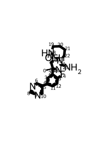 C[C@@]1(c2cc(-c3cncnc3)ccc2F)C[SH]2(=O)NCCCCN2C(N)=N1